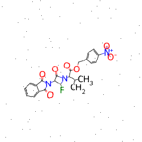 C=C(C)C(C(=O)OCc1ccc([N+](=O)[O-])cc1)N1C(=O)C(N2C(=O)c3ccccc3C2=O)C1F